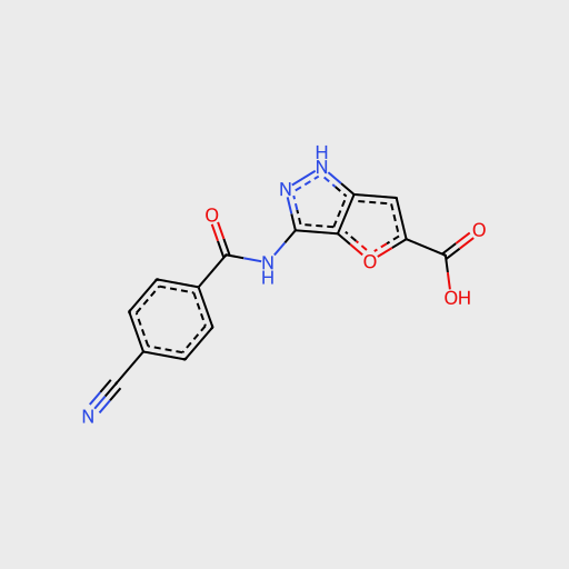 N#Cc1ccc(C(=O)Nc2n[nH]c3cc(C(=O)O)oc23)cc1